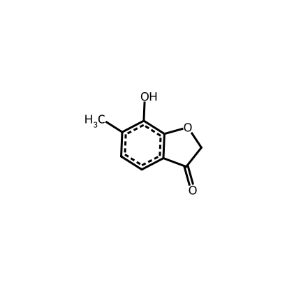 Cc1ccc2c(c1O)OCC2=O